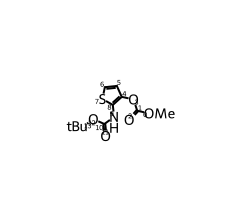 COC(=O)Oc1ccsc1NC(=O)OC(C)(C)C